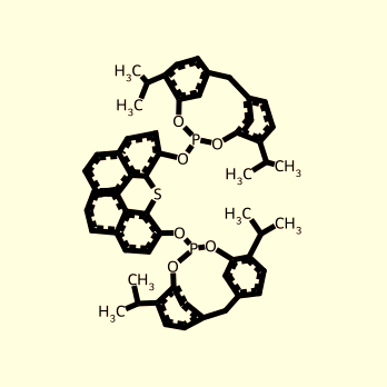 CC(C)c1ccc2cc1OP(Oc1ccc3ccccc3c1Sc1c(OP3Oc4cc(ccc4C(C)C)Cc4ccc(C(C)C)c(c4)O3)ccc3ccccc13)Oc1cc(ccc1C(C)C)C2